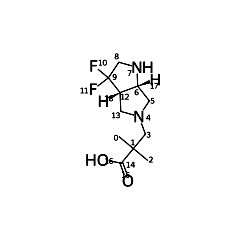 CC(C)(CN1C[C@H]2NCC(F)(F)[C@H]2C1)C(=O)O